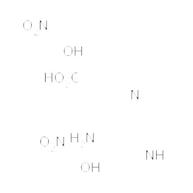 CN(CC(=O)O)C(=N)N.O=[N+]([O-])O.O=[N+]([O-])O